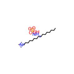 CCCCCCCCCCCCCCCC[N+](C)(C)C.N.O=S(=O)([O-])O